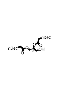 CCCCCCCCCCCC(=O)OC[C@H](CO)OC(=O)CCCCCCCCCCC